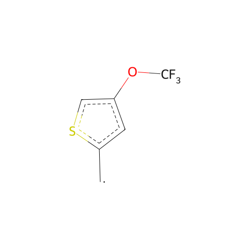 [CH2]c1cc(OC(F)(F)F)cs1